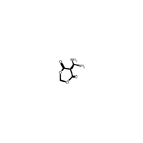 NC(N)=C1C(=O)OCOC1=O